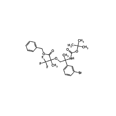 CC(C)(C)OC(=O)NC(C)(COC(C)(C(=O)OCc1ccccc1)C(F)(F)F)c1cccc(Br)c1